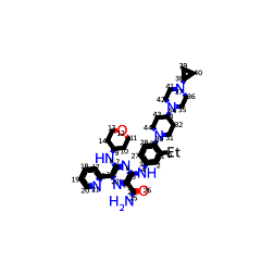 CCc1cc(Nc2nc(NC3CCOCC3)c(-c3ccccn3)nc2C(N)=O)ccc1N1CCC(N2CCN(C3CC3)CC2)CC1